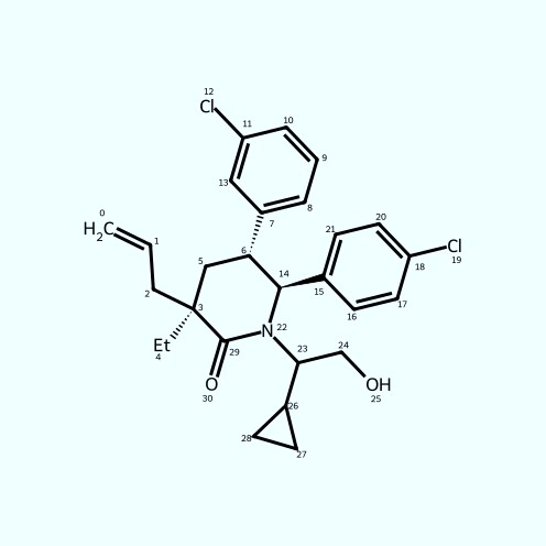 C=CC[C@@]1(CC)C[C@H](c2cccc(Cl)c2)[C@@H](c2ccc(Cl)cc2)N(C(CO)C2CC2)C1=O